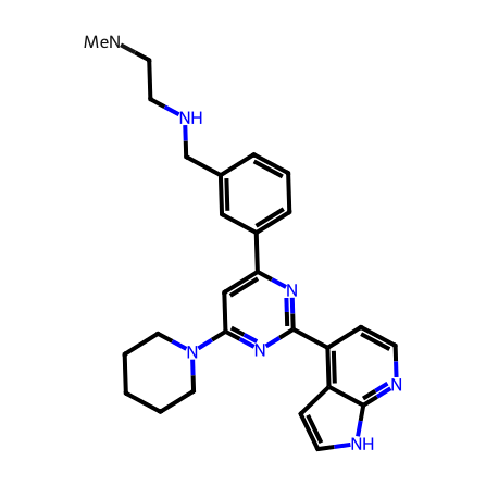 CNCCNCc1cccc(-c2cc(N3CCCCC3)nc(-c3ccnc4[nH]ccc34)n2)c1